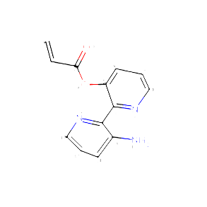 C=CC(=O)Oc1cccnc1-c1ncccc1N